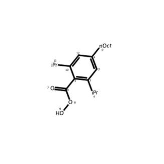 CCCCCCCCc1cc(C(C)C)c(C(=O)OO)c(C(C)C)c1